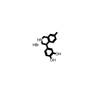 Br.Cc1ccc2c(c1)CNCC2c1ccc(O)c(O)c1